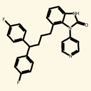 O=c1[nH]c2cccc(CCCC(c3ccc(F)cc3)c3ccc(F)cc3)c2n1-c1ccncc1